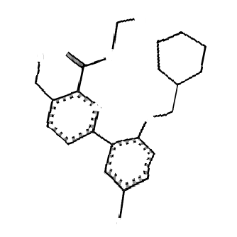 CCOC(=O)c1nc(-c2cc(Cl)ccc2OCC2CCCCC2)ccc1CC